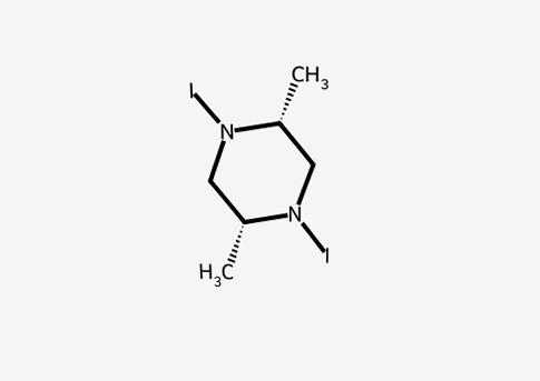 C[C@@H]1CN(I)[C@H](C)CN1I